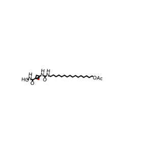 CC(=O)OCCCCCCCCCCCCCCCCNC(=O)NC12CC(C(=O)NO)(C1)C2